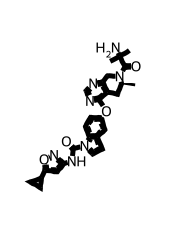 C[C@H]1Cc2c(ncnc2Oc2ccc3c(ccn3C(=O)Nc3cc(C4CC4)on3)c2)CN1C(=O)C(C)(C)N